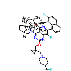 CC(C)[Si](C#Cc1c(F)ccc2cccc(-c3nc4c5c(nc(OCC6(CN7CCC(C(F)(F)F)CC7)CC6)nc5c3F)N3C[C@H]5CC[C@H](C5)[C@@H]3[C@@H](C)C4)c12)(C(C)C)C(C)C